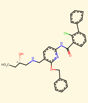 O=C(O)C[C@H](O)CNCc1ccc(NC(=O)c2cccc(-c3ccccc3)c2Cl)nc1OCc1ccccc1